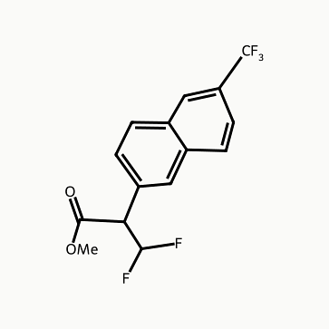 COC(=O)C(c1ccc2cc(C(F)(F)F)ccc2c1)C(F)F